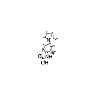 C[C@@H]1CCCN1c1cnc(NC(=O)O)c(F)c1